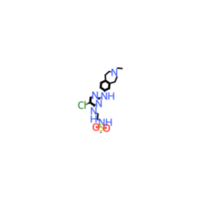 CCN1CCc2ccc(Nc3ncc(Cl)c(NCCNS(C)(=O)=O)n3)cc2CC1